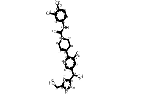 O=C(Nc1ccc(C(F)(F)F)c(Cl)c1)N1CC=C(c2ncc(C(O)c3nnc(CO)o3)cc2Cl)CC1